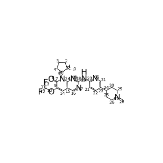 C[C@H]1CCC[C@H]1n1c(=O)c(OC(F)F)cc2cnc(Nc3ccc(C4CCN(C)CC4)cn3)nc21